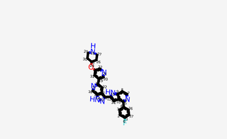 Fc1ccc(-c2nccc3[nH]c(-c4n[nH]c5cnc(-c6cncc(OC7CCNCC7)c6)cc45)cc23)cc1